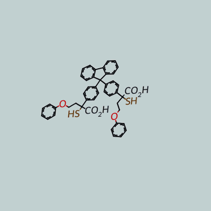 O=C(O)C(S)(CCOc1ccccc1)c1ccc(C2(c3ccc(C(S)(CCOc4ccccc4)C(=O)O)cc3)c3ccccc3-c3ccccc32)cc1